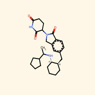 CC(N[C@H]1CCCC[C@@H]1Cc1ccc2c(c1)CN(C1CCC(=O)NC1=O)C2=O)C1CCCC1